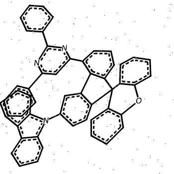 c1ccc(-c2cc(-c3cccc4c3-c3cc(-n5c6ccccc6c6ccccc65)ccc3C43c4ccccc4Oc4ccccc43)nc(-c3ccccc3)n2)cc1